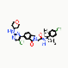 CC(C)(NC(=O)CN1Cc2ccc(-c3nc(NC4CCOCC4)ncc3Cl)cc2C1=O)c1ccc(Cl)cc1